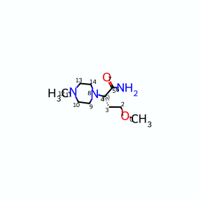 COCC[C@@H](C(N)=O)N1CCN(C)CC1